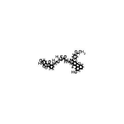 C=CC(=O)N1CCN(c2nc(NCCC(=O)N(C)CCOCCNc3cccc4c3C(=O)N(C3CCC(=O)NC3=O)C4=O)nc3c(F)c(-c4cc(O)cc5ccccc45)c(Cl)cc23)CC1